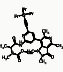 Cc1nc(C)c2c(=O)n(C)n(C)c2c1-c1cc(C#C[Si](C(C)C)(C(C)C)C(C)C)nc(NC(=O)C(C)N(C)C(=O)OC(C)(C)C)c1